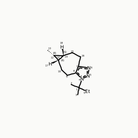 CCC(C)(C)n1nnc2c1CC[C@@H]1[C@H](C)[C@@H]1CC2